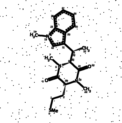 CSCC[C@@H]1C(=O)N(C)[C@H]([C@@H](C)c2cn(C)c3ccccc23)C(=O)N1C